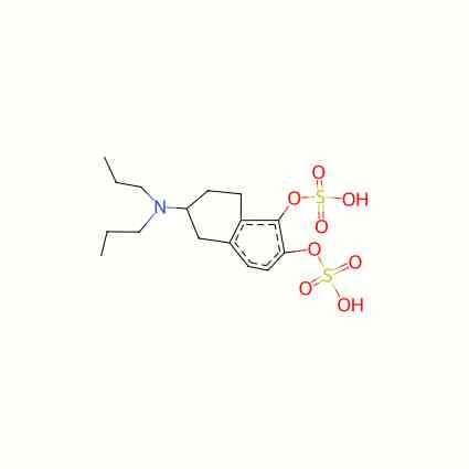 CCCN(CCC)C1CCc2c(ccc(OS(=O)(=O)O)c2OS(=O)(=O)O)C1